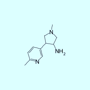 Cc1ccc(C2CN(C)CC2N)cn1